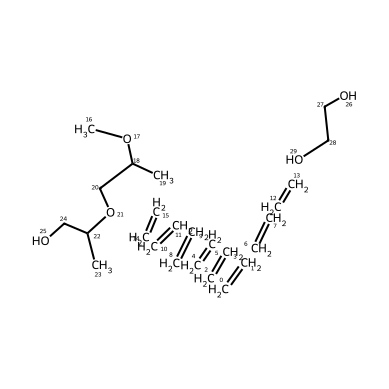 C=C.C=C.C=C.C=C.C=C.C=C.C=C.C=C.COC(C)COC(C)CO.OCCO